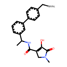 CC(=O)NCc1ccc(-c2cccc(C(C)NC(=O)C3=C(O)C(=O)N(C)C3)c2)cc1